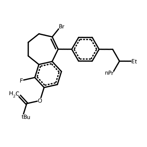 C=C(Oc1ccc2c(c1F)CCCC(Br)=C2c1ccc(CC(CC)CCC)cc1)C(C)(C)C